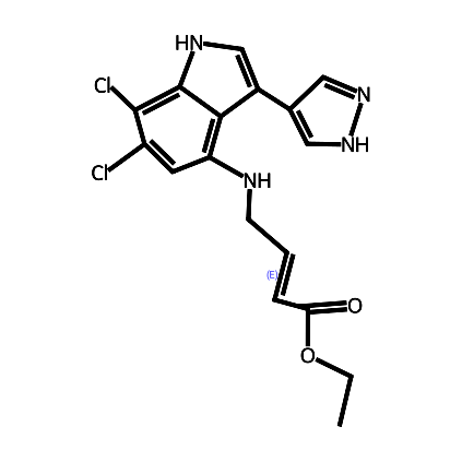 CCOC(=O)/C=C/CNc1cc(Cl)c(Cl)c2[nH]cc(-c3cn[nH]c3)c12